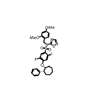 COc1ccc(CN(c2ncns2)S(=O)(=O)c2cc(F)c(O[C@H]3CCCCC[C@@H]3c3ccccc3)cc2F)c(OC)c1